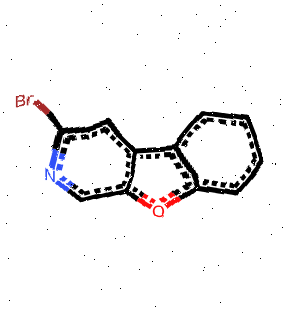 Brc1cc2c(cn1)oc1ccccc12